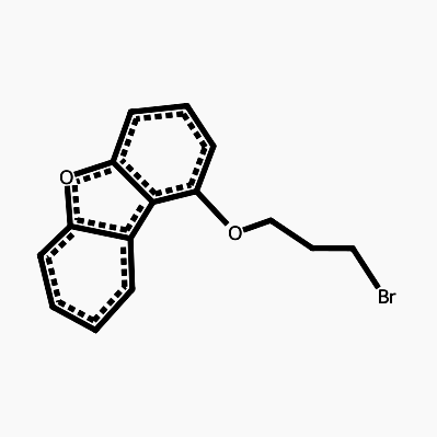 BrCCCOc1cccc2oc3ccccc3c12